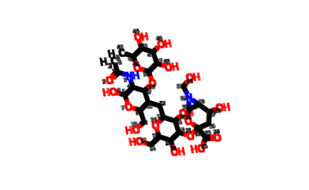 CC(=O)NC1C(O)OC(CO)C(CC2OC(CO)C(O)C(OC3(C(=O)O)CC(O)C4C(O3)N4CO)C2O)C1OC1OC(C)C(O)C(O)C1O